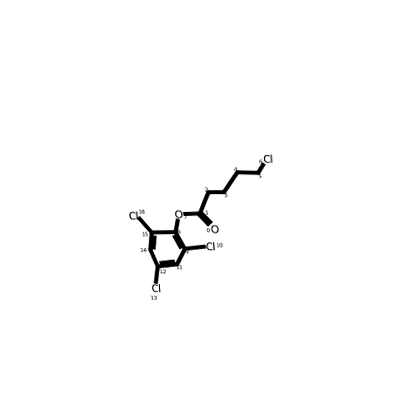 O=C(CCCCCl)Oc1c(Cl)cc(Cl)cc1Cl